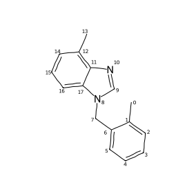 Cc1ccccc1Cn1cnc2c(C)cccc21